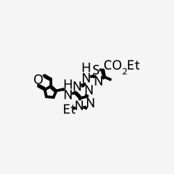 CCOC(=O)c1sc(Nc2nc(NCC3=C4C=COC=C4CC3)c3c(ncn3CC)n2)nc1C